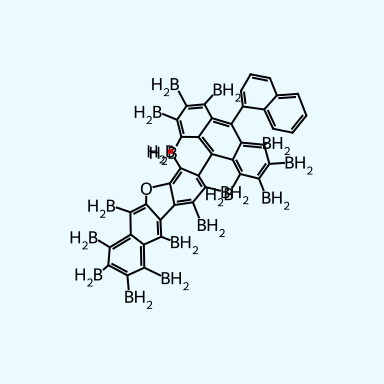 Bc1c(B)c(B)c2c(B)c3c(oc4c(B)c(-c5c6c(B)c(B)c(B)c(B)c6c(-c6cccc7ccccc67)c6c(B)c(B)c(B)c(B)c56)c(B)c(B)c43)c(B)c2c1B